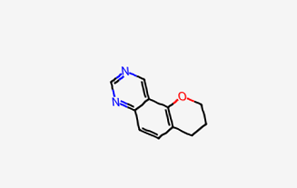 c1ncc2c3c(ccc2n1)CCCO3